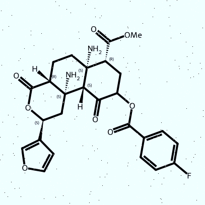 COC(=O)[C@@H]1CC(OC(=O)c2ccc(F)cc2)C(=O)[C@H]2[C@@]1(N)CC[C@H]1C(=O)O[C@H](c3ccoc3)C[C@]21N